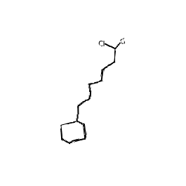 ClC(Cl)CCCCCCC1CCCCC1